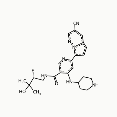 CC(C)(O)[C@H](F)CNC(=O)c1cnc(-c2ccc3cc(C#N)cnn23)cc1NC1CCNCC1